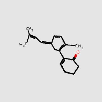 CC(C)=CC=C1C=CC(C)=C(C2=CCCCC2=O)C1